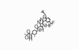 Cc1[nH]c2c(-c3cc(C(F)F)ccc3OCC3CC3)ncnc2c1C(=O)N[C@@H]1CC[C@@H](NC(=O)[C@H](C)O)[C@H](C)C1